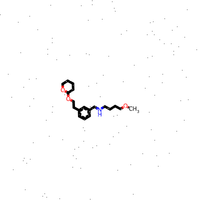 COCCCCNCc1cccc(CCOC2CCCCO2)c1